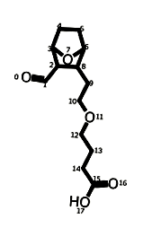 O=CC1C2CCC(O2)C1CCOCCCC(=O)O